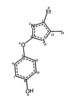 CCc1nc(Oc2ccc(O)cc2)sc1C